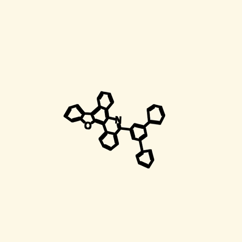 c1ccc(-c2cc(-c3ccccc3)cc(-c3nc4c5ccccc5c5c6ccccc6oc5c4c4ccccc34)c2)cc1